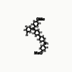 COc1ccc(N(C)c2ccc(-c3ccc(N(c4ccc(OC)cc4)c4cccc(C)c4)cc3)cc2)cc1